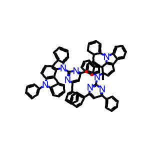 CC12C=Cc3c(n(C4=CC=CCC4c4cccc(-c5cc(-c6ccccc6)nc(-n6c7ccccc7c7ccc8c(c9ccccc9n8-c8ccccc8)c76)n5)c4)c4ccccc34)C1c1ccccc1N2c1nc(-c2ccccc2)cc(-c2ccccc2)n1